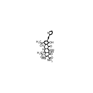 CN(C)c1cc(C#Cc2ccccn2)c(O)c2c1C[C@@H]1C[C@H]3[C@@H](N(C)C)C(O)=C(C(N)=O)C(=O)[C@@]3(O)C(O)=C1C2=O